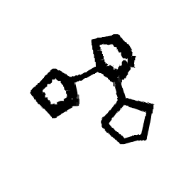 c1csc(-c2ccnn2C2CCCC2)c1